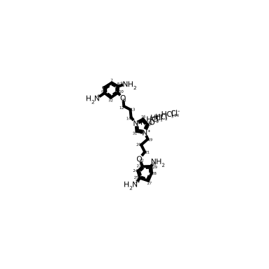 Cl.Cl.Cl.Cl.Nc1ccc(N)c(OCCCn2cc[n+](CCCOc3cc(N)ccc3N)c2)c1.O.[Cl-]